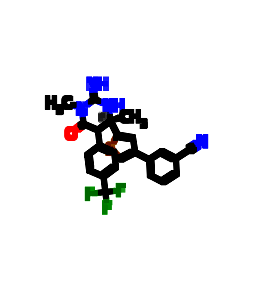 CN1C(=N)N[C@](C)(c2cc(-c3cccc(C#N)c3)cs2)C(c2ccc(C(F)(F)F)cc2)C1=O